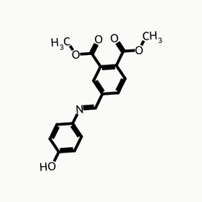 COC(=O)c1ccc(C=Nc2ccc(O)cc2)cc1C(=O)OC